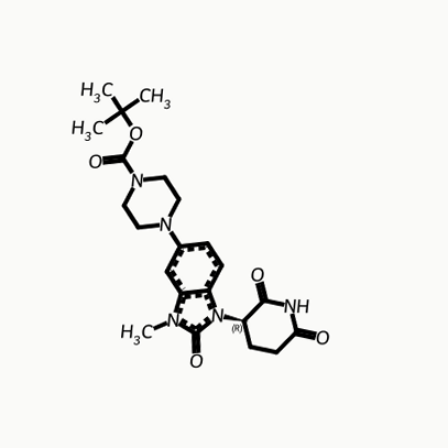 Cn1c(=O)n([C@@H]2CCC(=O)NC2=O)c2ccc(N3CCN(C(=O)OC(C)(C)C)CC3)cc21